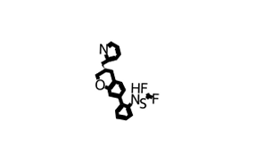 FC(F)SNc1ccccc1-c1ccc2c(c1)OC[C@H](Cc1ccccn1)C2